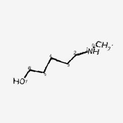 [CH2]NCCCCCO